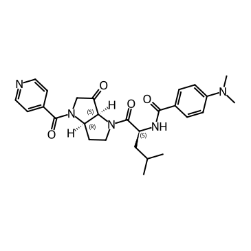 CC(C)C[C@H](NC(=O)c1ccc(N(C)C)cc1)C(=O)N1CC[C@@H]2[C@H]1C(=O)CN2C(=O)c1ccncc1